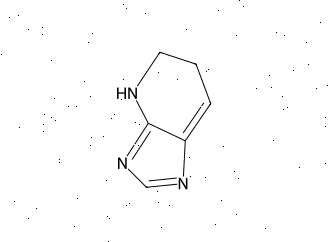 C1=NC2=CCCNC2=N1